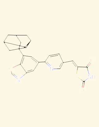 O=C1NC(=O)C(=Cc2ccc(-c3cc(C45CC6CC(CC(C6)C4)C5)c4ocnc4c3)nc2)S1